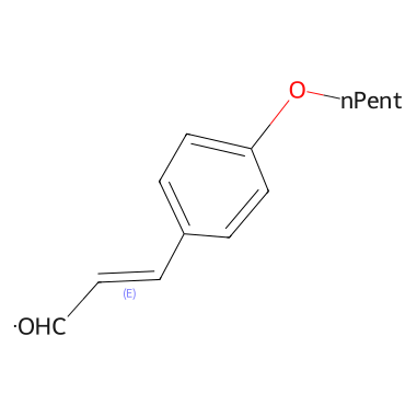 CCCCCOc1ccc(/C=C/[C]=O)cc1